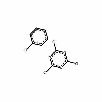 Clc1ccccc1.Clc1nc(Cl)nc(Cl)n1